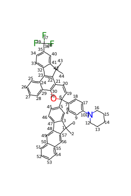 CC1(C)c2cc(C3(c4ccc(N5CCCCC5)cc4)C=Cc4c5c(c6ccccc6c4O3)-c3ccc(C(F)(F)F)cc3C5(C)C)ccc2-c2cc3ccccc3cc21